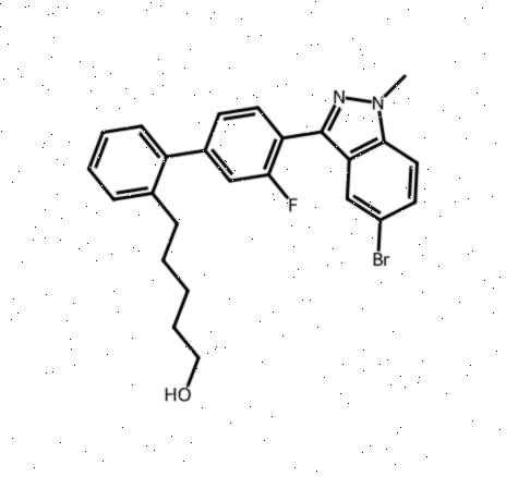 Cn1nc(-c2ccc(-c3ccccc3CCCCCO)cc2F)c2cc(Br)ccc21